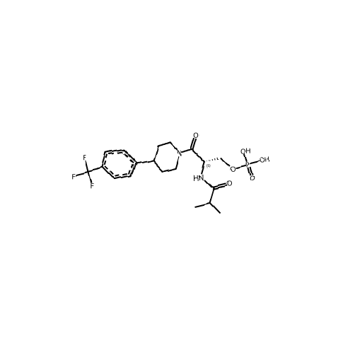 CC(C)C(=O)N[C@@H](COP(=O)(O)O)C(=O)N1CCC(c2ccc(C(F)(F)F)cc2)CC1